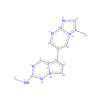 CNc1ncc2c(-c3cnc4ncc(C)n4c3)ccn2n1